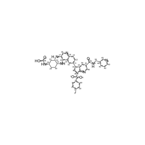 Cc1ccc(S(=O)(=O)n2cc(-c3ccc4ncc(N)c(NC5CCC(NC(=O)O)CC5)c4c3)c3cc(C(=O)NCc4cccnc4)cnc32)cc1